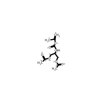 C=C(C)OC(=O)NC(COC(C)=O)COC(C)=O